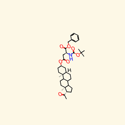 CC(=O)[C@H]1CCC2C3CC[C@@H]4C[C@H](OC(=O)C[C@H](NC(=O)OC(C)(C)C)C(=O)OCc5ccccc5)CC[C@]4(C)C3CC[C@@]21C